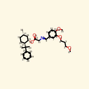 COCCCOc1cc(/C=N/CC(=O)O[C@H]2C[C@@H](C)CC[C@@H]2C(C)(C)c2ccccc2)ccc1OC